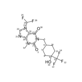 Cn1c(=O)n(CC2CCC(O)(C(F)(F)F)CC2)c(=O)c2c1ncn2C(F)F